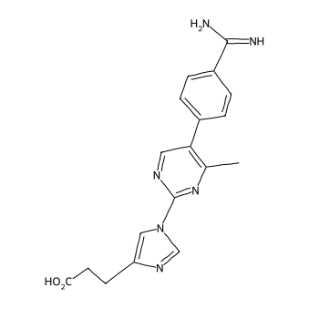 Cc1nc(-n2cnc(CCC(=O)O)c2)ncc1-c1ccc(C(=N)N)cc1